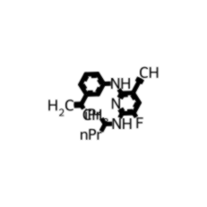 C#Cc1cc(F)c(NC(CCC)C(C)C)nc1Nc1cccc(C(=C)C)c1